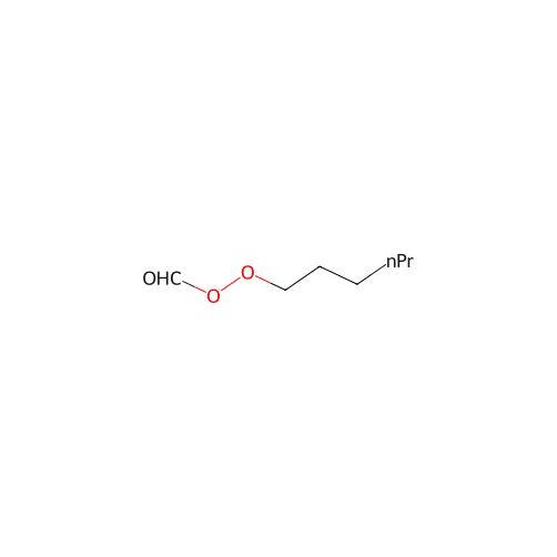 CCCCCCOOC=O